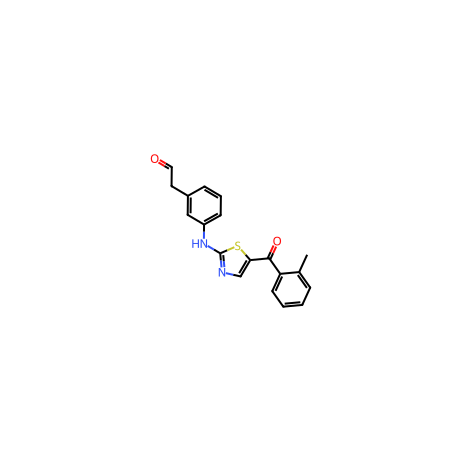 Cc1ccccc1C(=O)c1cnc(Nc2cccc(CC=O)c2)s1